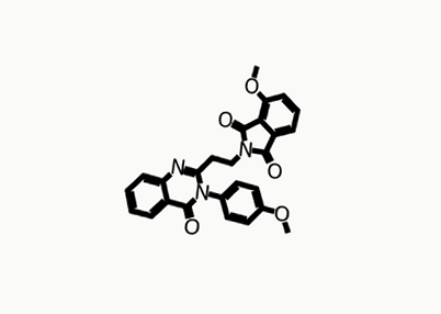 COc1ccc(-n2c(CCN3C(=O)c4cccc(OC)c4C3=O)nc3ccccc3c2=O)cc1